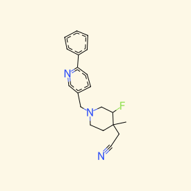 CC1(CC#N)CCN(Cc2ccc(-c3ccccc3)nc2)CC1F